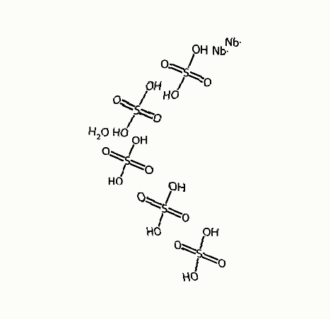 O.O=S(=O)(O)O.O=S(=O)(O)O.O=S(=O)(O)O.O=S(=O)(O)O.O=S(=O)(O)O.[Nb].[Nb]